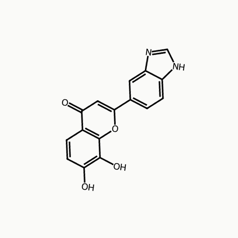 O=c1cc(-c2ccc3[nH]cnc3c2)oc2c(O)c(O)ccc12